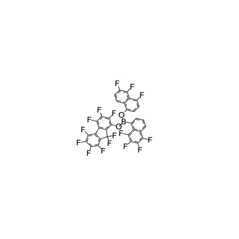 Fc1ccc2c(OB(Oc3c(F)c(F)c(F)c4c3C(F)(F)c3c(F)c(F)c(F)c(F)c3-4)c3cccc4c(F)c(F)c(F)c(F)c34)ccc(F)c2c1F